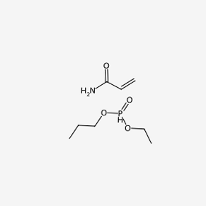 C=CC(N)=O.CCCO[PH](=O)OCC